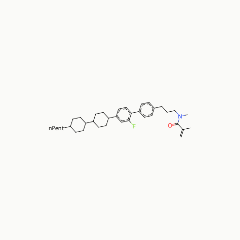 C=C(C)C(=O)N(C)CCCc1ccc(-c2ccc(C3CCC(C4CCC(CCCCC)CC4)CC3)cc2F)cc1